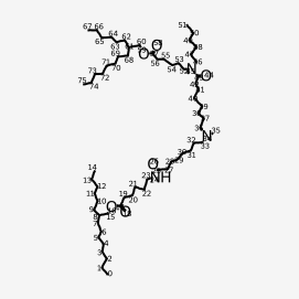 CCCCCCCCC(CCCCCC)COC(=O)CCCCCNC(=O)CCCCCCCN(C)CCCCCCCC(=O)N(CCCCCC)CCCCCC(=O)OCC(CCCCCC)CCCCCCCC